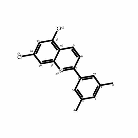 Cc1cc(C)cc(-c2ccc3c(Cl)cc(Cl)cc3n2)c1